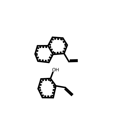 C=Cc1cccc2ccccc12.C=Cc1ccccc1O